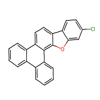 Clc1ccc2c(c1)oc1c2ccc2c3ccccc3c3ccccc3c21